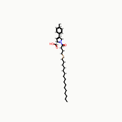 CCCCCCCCCCCCCCCCSCCCC(=O)N1CC(c2ccc(C)cc2)=C[C@H]1C(=O)O